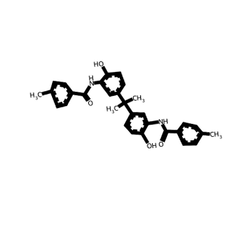 Cc1ccc(C(=O)Nc2cc(C(C)(C)c3ccc(O)c(NC(=O)c4ccc(C)cc4)c3)ccc2O)cc1